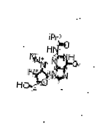 CC(C)C(=O)Nc1nc2c(ncn2[C@@H]2O[C@H](CO)[C@@H](F)C2N=[N+]=[N-])c(=O)[nH]1